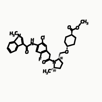 COC(=O)[C@H]1CC[C@H](OC[C@@H]2CC[C@H](C)N2C(=O)Cc2cc(Cl)c(NC(=O)c3cn(C)c4ccccc34)cc2F)CC1